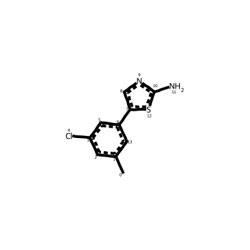 Cc1cc(Cl)cc(-c2cnc(N)s2)c1